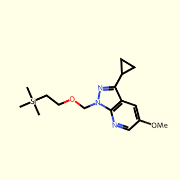 COc1cnc2c(c1)c(C1CC1)nn2COCC[Si](C)(C)C